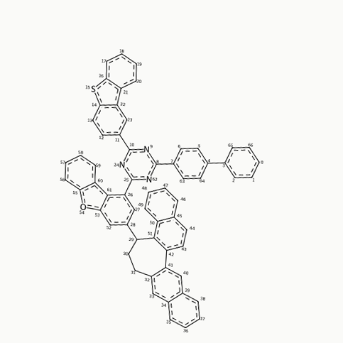 c1ccc(-c2ccc(-c3nc(-c4ccc5sc6ccccc6c5c4)nc(-c4cc(C5CCc6cc7ccccc7cc6-c6ccc7ccccc7c65)cc5oc6ccccc6c45)n3)cc2)cc1